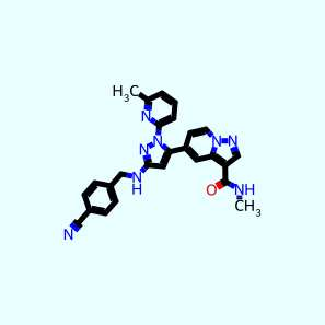 CNC(=O)c1cnn2ccc(-c3cc(NCc4ccc(C#N)cc4)nn3-c3cccc(C)n3)cc12